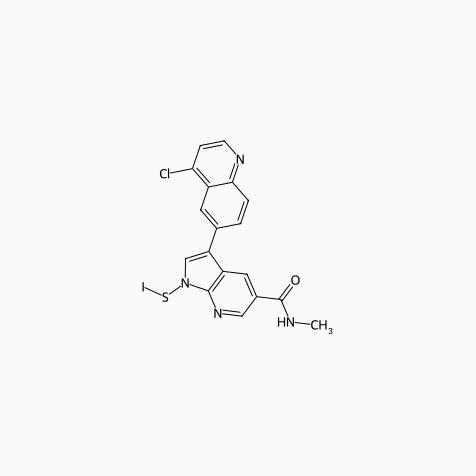 CNC(=O)c1cnc2c(c1)c(-c1ccc3nccc(Cl)c3c1)cn2SI